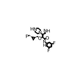 N=C/C(=C(/OC[C@H]1C[C@@H]1CF)C(=O)Nc1cc(F)cc(F)c1)N1CCNCC1